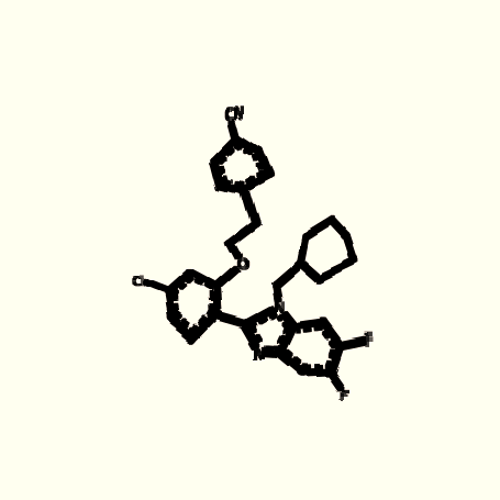 N#Cc1ccc(CCOc2cc(Cl)ccc2-c2nc3cc(F)c(F)cc3n2CC2CCCCC2)cc1